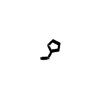 S=Nc1cccs1